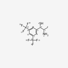 CC(N)C(S)c1cc(C(F)(F)F)cc(C(F)(F)F)c1